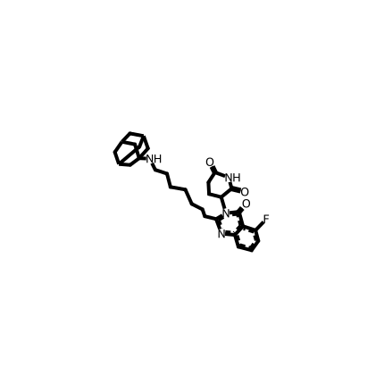 O=C1CCC(n2c(CCCCCCCNC34CC5CC(CC(C5)C3)C4)nc3cccc(F)c3c2=O)C(=O)N1